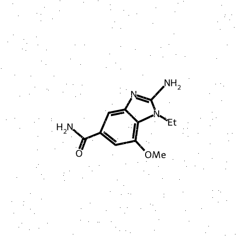 CCn1c(N)nc2cc(C(N)=O)cc(OC)c21